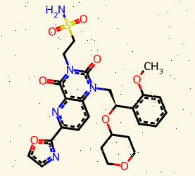 COc1ccccc1[C@H](Cn1c(=O)n(CCS(N)(=O)=O)c(=O)c2nc(-c3ncco3)ccc21)OC1CCOCC1